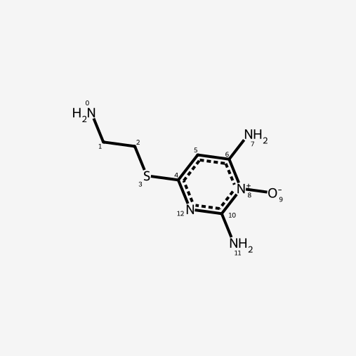 NCCSc1cc(N)[n+]([O-])c(N)n1